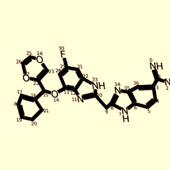 N=C(N)c1ccc2[nH]c(Cc3nc4c(OC(C5=CC=CCC5)C5=COC=CO5)cc(F)cc4[nH]3)nc2c1